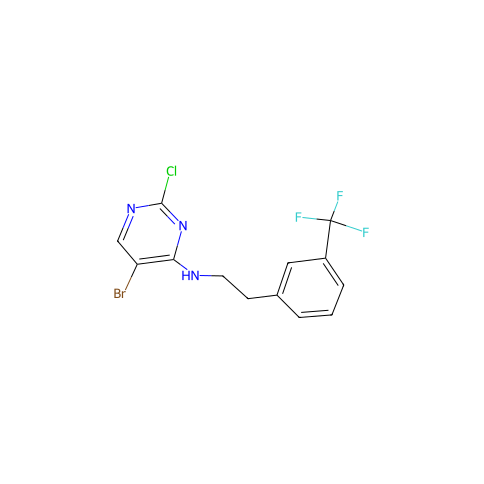 FC(F)(F)c1cccc(CCNc2nc(Cl)ncc2Br)c1